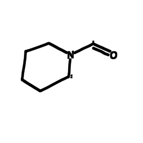 O=[C]N1[C]CCCC1